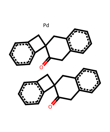 O=C1Cc2ccccc2CC12Cc1ccccc12.O=C1Cc2ccccc2CC12Cc1ccccc12.[Pd]